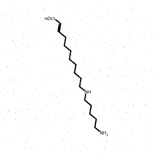 CCCCCCCCC=CCCCCCCCCNCCCCCN